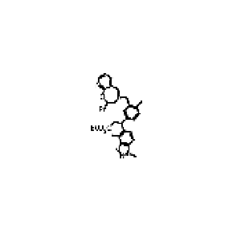 CCOC(=O)CC(c1ccc(C)c(CN2Cc3cccnc3OC(CC)C2)c1)c1ccc2c(nnn2C)c1C